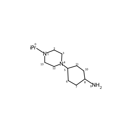 CC(C)N1CCN(C2CCC(N)CC2)CC1